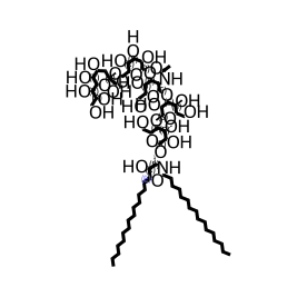 CCCCCCCCCCCCC/C=C/[C@@H](O)[C@H](CO[C@@H]1OC(CO)[C@@H](O[C@@H]2OC(CO)[C@H](O)[C@H](O[C@@H]3OC(CO)[C@@H](O)[C@H](O[C@@H]4OC(CO[C@]5(C(=O)O)CC(O)[C@@H](O)C([C@H](O)[C@H](O)CO)O5)[C@H](O)[C@H](O)C4O)C3NC(C)=O)C2O)[C@H](O)C1O)NC(=O)CCCCCCCCCCCCCCC